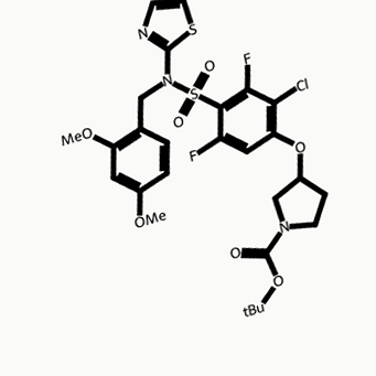 COc1ccc(CN(c2nccs2)S(=O)(=O)c2c(F)cc(OC3CCN(C(=O)OC(C)(C)C)C3)c(Cl)c2F)c(OC)c1